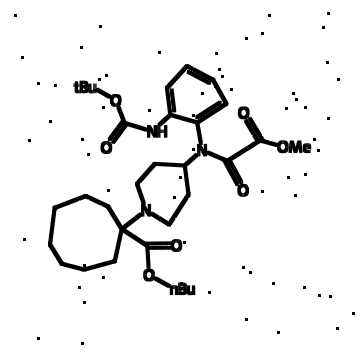 CCCCOC(=O)C1(N2CCC(N(C(=O)C(=O)OC)c3ccccc3NC(=O)OC(C)(C)C)CC2)CCCCCCC1